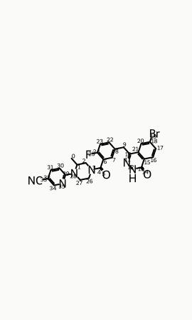 CC1CN(C(=O)c2cc(Cc3n[nH]c(=O)c4ccc(Br)cc34)ccc2F)CCN1c1ccc(C#N)cn1